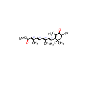 COC(=O)/C=C(C)/C=C/C=C(C)/C=C/C1=C(C)C(=O)C(C(C)C)CC1(C)C